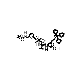 CC(C)C(NC(=O)C1(C)CSC(c2cccc(CNC(=O)OC(C)(C)C)n2)=N1)C(=O)NC(C=CCCSC(c1ccccc1)(c1ccccc1)c1ccccc1)CC(=O)O